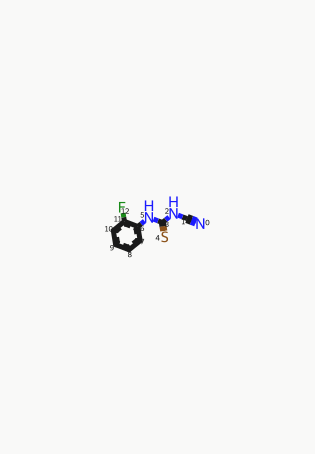 N#CNC(=S)Nc1ccccc1F